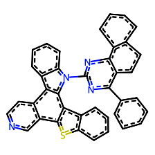 c1ccc(-c2nc(-n3c4ccccc4c4c5ccncc5c5sc6ccccc6c5c43)nc3c2ccc2ccccc23)cc1